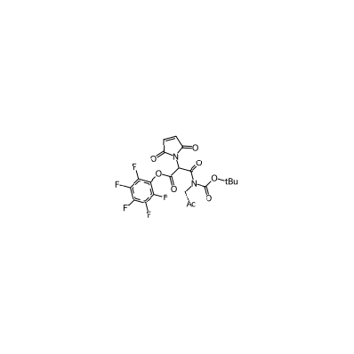 CC(=O)CN(C(=O)OC(C)(C)C)C(=O)C(C(=O)Oc1c(F)c(F)c(F)c(F)c1F)N1C(=O)C=CC1=O